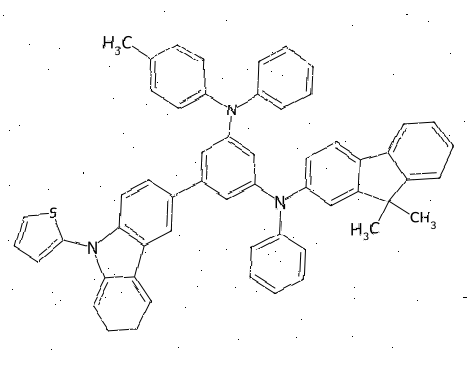 Cc1ccc(N(c2ccccc2)c2cc(-c3ccc4c(c3)c3c(n4-c4cccs4)=CCCC=3)cc(N(c3ccccc3)c3ccc4c(c3)C(C)(C)c3ccccc3-4)c2)cc1